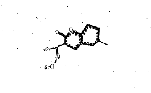 CCCC(=NOC(C)=O)c1cc2cc(C)ccc2oc1=O